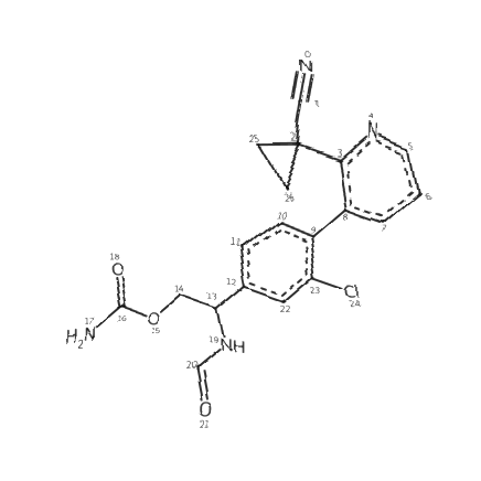 N#CC1(c2ncccc2-c2ccc(C(COC(N)=O)NC=O)cc2Cl)CC1